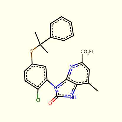 CCOC(=O)c1cc(C)c2[nH]c(=O)n(-c3cc(SC(C)(C)c4ccccc4)ccc3Cl)c2n1